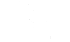 CCOC(=O)C(Cc1ccc(Cl)cc1)C(=O)OCC